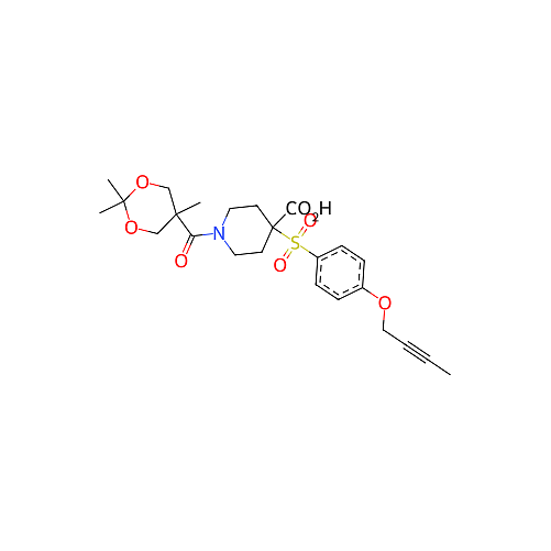 CC#CCOc1ccc(S(=O)(=O)C2(C(=O)O)CCN(C(=O)C3(C)COC(C)(C)OC3)CC2)cc1